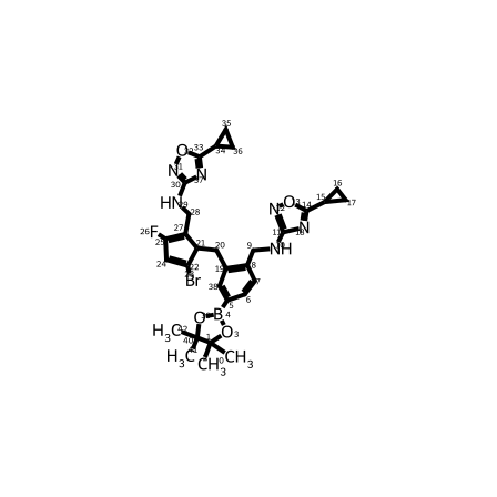 CC1(C)OB(c2ccc(CNc3noc(C4CC4)n3)c(CC3C(Br)=CC(F)=C3CNc3noc(C4CC4)n3)c2)OC1(C)C